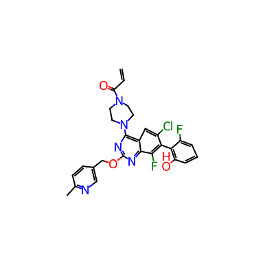 C=CC(=O)N1CCN(c2nc(OCc3ccc(C)nc3)nc3c(F)c(-c4c(O)cccc4F)c(Cl)cc23)CC1